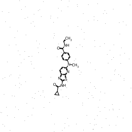 C=CNC(=O)c1ccc(N(C)c2ccc3nc(NC(=O)C4CC4)sc3n2)cc1